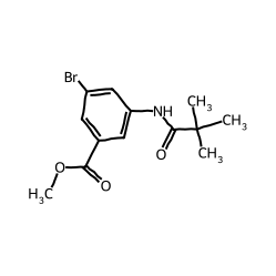 COC(=O)c1cc(Br)cc(NC(=O)C(C)(C)C)c1